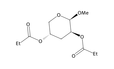 CCC(=O)O[C@@H]1CO[C@@H](OC)[C@@H](OC(=O)CC)C1